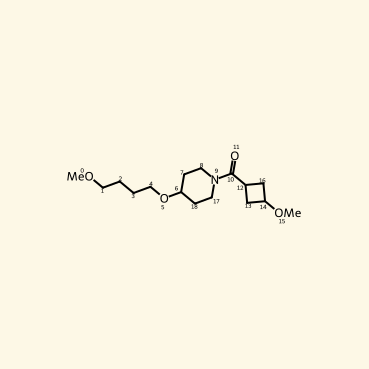 COCCCCOC1CCN(C(=O)C2CC(OC)C2)CC1